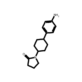 Nc1ccc(C2CCC(N3CCCC3=O)CC2)cc1